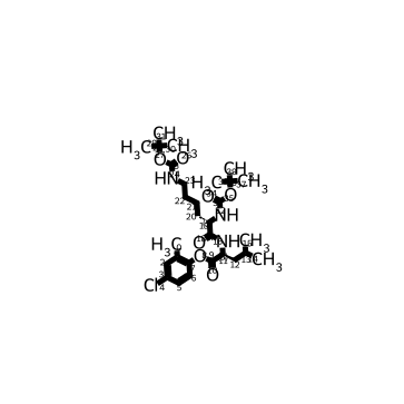 Cc1cc(Cl)ccc1OC(=O)[C@H](CC(C)C)NC(=O)[C@H](CCCCNC(=O)OC(C)(C)C)NC(=O)OC(C)(C)C